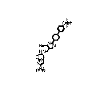 N#Cc1nc(C2CCC(c3ccc(OC(F)(F)F)cc3)CC2)ncc1CN[C@@H]1COc2nc([N+](=O)[O-])cn2C1